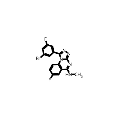 CNc1nc2nnc(-c3cc(F)cc(Br)c3)n2c2ccc(F)cc12